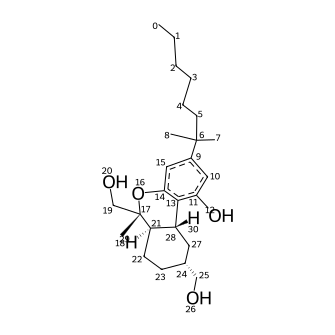 CCCCCCC(C)(C)c1cc(O)c2c(c1)O[C@@](C)(CO)[C@@H]1CC[C@@H](CO)C[C@@H]21